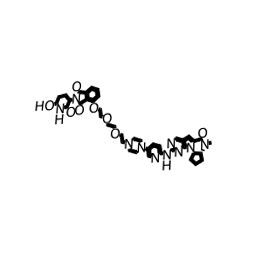 CN(C)C(=O)c1cc2cnc(Nc3ccc(N4CCN(CCOCCOCCOc5cccc6c5C(=O)N(C5CCC(O)NC5=O)C6=O)CC4)cn3)nc2n1C1CCCC1